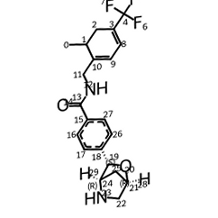 CC1CC(C(F)(F)F)=CC=C1CNC(=O)c1ccc([C@@H]2O[C@H]3CN[C@@H]2C3)cc1